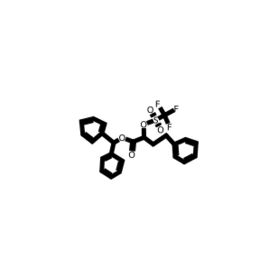 O=C(OC(c1ccccc1)c1ccccc1)C(CCc1ccccc1)OS(=O)(=O)C(F)(F)F